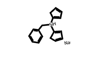 C1=CCC([SiH](Cc2ccccc2)C2=CC=CC2)=C1.[Na]